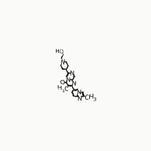 Cc1cn2cc(-c3nc4cnc(C5CCN(CCO)CC5)cn4c(=O)c3C)ccc2n1